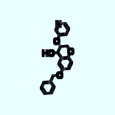 O[C@@H]1c2cc(OCc3ccccc3)ccc2OC[C@H]1Oc1cccnc1